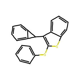 c1ccc(Sc2sc3ccccc3c2[C]2c3ccccc32)cc1